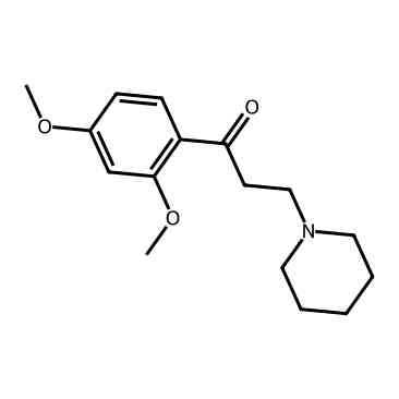 COc1ccc(C(=O)CCN2CCCCC2)c(OC)c1